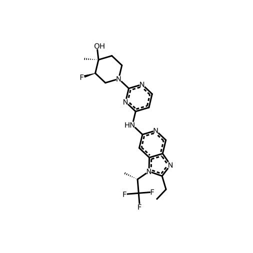 CCc1nc2cnc(Nc3ccnc(N4CC[C@](C)(O)[C@H](F)C4)n3)cc2n1[C@@H](C)C(F)(F)F